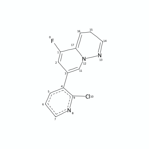 FC1=CC(c2cccnc2Cl)=CN2N=CCC=C12